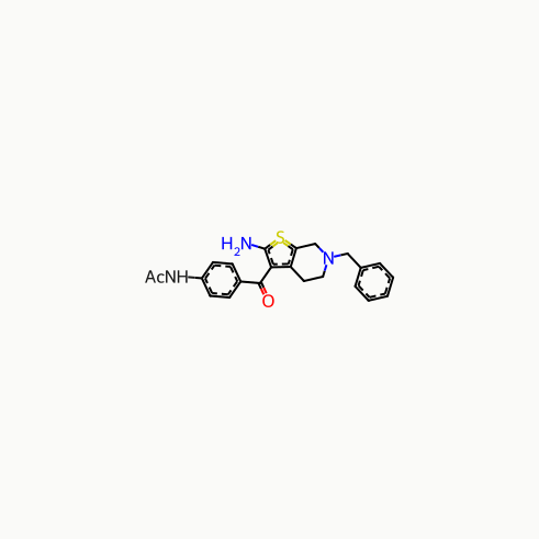 CC(=O)Nc1ccc(C(=O)c2c(N)sc3c2CCN(Cc2ccccc2)C3)cc1